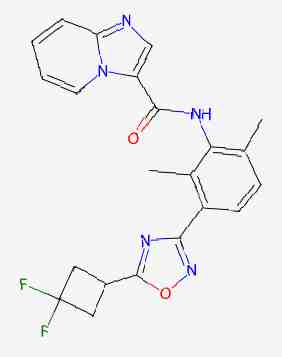 Cc1ccc(-c2noc(C3CC(F)(F)C3)n2)c(C)c1NC(=O)c1cnc2ccccn12